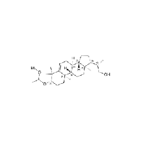 CCOC(C)O[C@H]1CC[C@@]2(C)C(=CC[C@H]3[C@@H]4CC[C@H]([C@H](C)CO)[C@@]4(C)CC[C@@H]32)C1(C)C